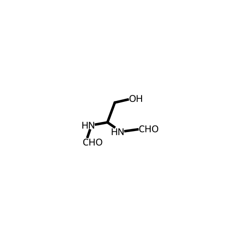 O=CNC(CO)NC=O